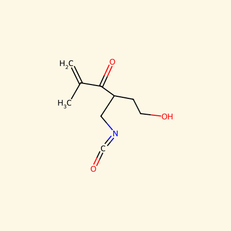 C=C(C)C(=O)C(CCO)CN=C=O